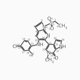 CCS(=O)(=O)n1ccc2cc(Nc3ccc(Cl)cc3F)c(-c3cn(C)c(=O)c4[nH]ccc34)nc21